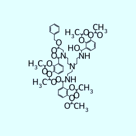 CC(=O)Oc1cccc(C(=O)NCCN(CCNC(O)c2cccc(OC(C)=O)c2OC(C)=O)CCN(CC(=O)OCc2ccccc2)C(=O)c2cccc(OC(C)=O)c2OC(C)=O)c1OC(C)=O